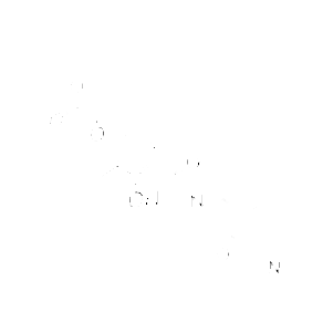 CCOC(=O)COc1ccc(C(=O)CN2C=C3C=CC(C#N)C(=O)C3C2)c(O)c1C